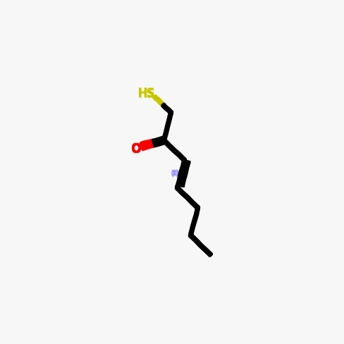 CCC/C=C/C(=O)CS